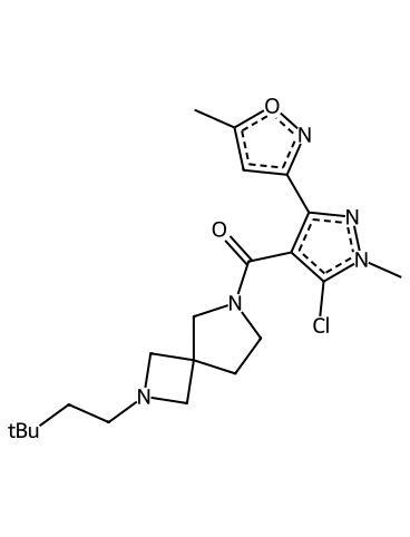 Cc1cc(-c2nn(C)c(Cl)c2C(=O)N2CCC3(CN(CCC(C)(C)C)C3)C2)no1